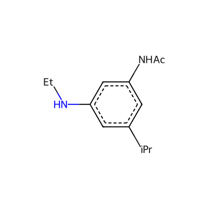 CCNc1cc(NC(C)=O)cc(C(C)C)c1